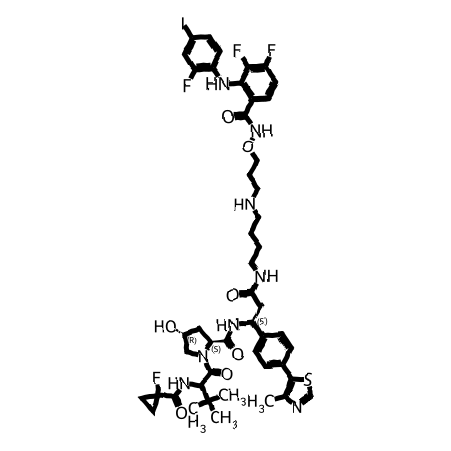 Cc1ncsc1-c1ccc([C@H](CC(=O)NCCCCNCCCONC(=O)c2ccc(F)c(F)c2Nc2ccc(I)cc2F)NC(=O)[C@@H]2C[C@@H](O)CN2C(=O)C(NC(=O)C2(F)CC2)C(C)(C)C)cc1